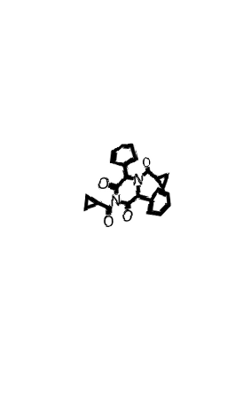 O=C(C1CC1)N1C(=O)C(c2ccccc2)N(C(=O)C2CC2)C(c2ccccc2)C1=O